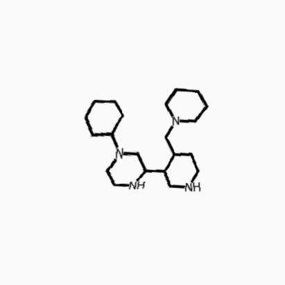 C1CCC(N2CCNC(C3CNCCC3CN3CCCCC3)C2)CC1